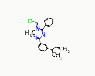 C=CC(=C)c1cccc(C(=N/C)/N=C(\N=C\Cl)c2ccccc2)c1